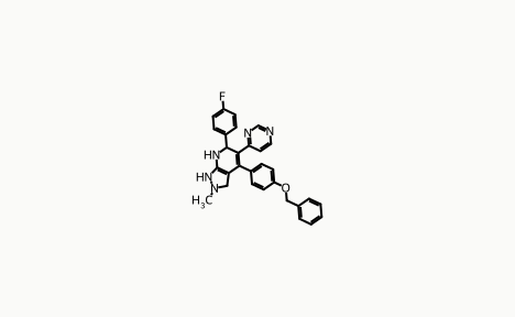 CN1CC2=C(NC(c3ccc(F)cc3)C(c3ccncn3)=C2c2ccc(OCc3ccccc3)cc2)N1